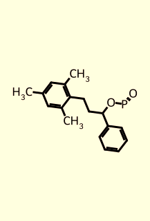 Cc1cc(C)c(CCC(OP=O)c2ccccc2)c(C)c1